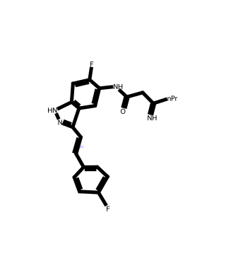 CCCC(=N)CC(=O)Nc1cc2c(/C=C/c3ccc(F)cc3)n[nH]c2cc1F